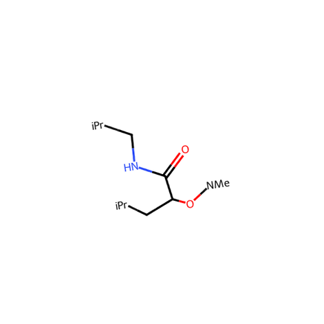 CNOC(CC(C)C)C(=O)NCC(C)C